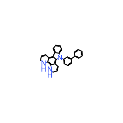 C1=Cc2c(c3c(c4c2c2ccccc2n4-c2cccc(-c4ccccc4)c2)C=CCN3)NC1